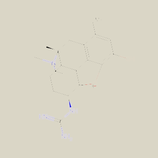 COc1cc(O)c2c3c1C[C@@H]1[C@@H]4CC[C@H](NC(=N)N)[C@H](O2)[C@]34CCN1C